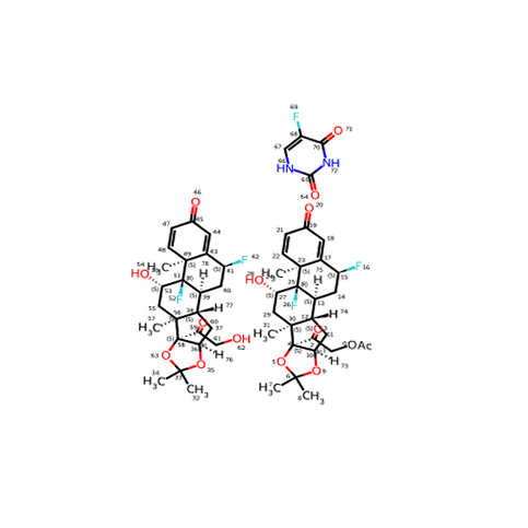 CC(=O)OCC(=O)[C@@]12OC(C)(C)O[C@@H]1C[C@H]1[C@@H]3C[C@H](F)C4=CC(=O)C=C[C@]4(C)[C@@]3(F)[C@@H](O)C[C@@]12C.CC1(C)O[C@@H]2C[C@H]3[C@@H]4C[C@H](F)C5=CC(=O)C=C[C@]5(C)[C@@]4(F)[C@@H](O)C[C@]3(C)[C@]2(C(=O)CO)O1.O=c1[nH]cc(F)c(=O)[nH]1